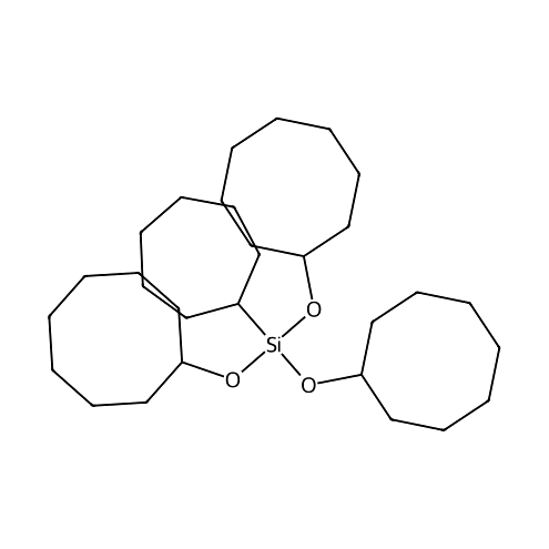 C1CCCC(O[Si](OC2CCCCCCC2)(OC2CCCCCCC2)C2CCCCCC2)CCC1